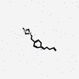 C=CCC/C=C1/C=CC(CCN2CN(C)C2)=CC1